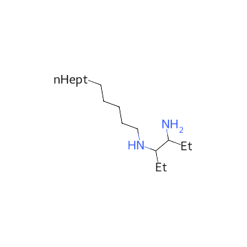 CCCCCCCCCCCCNC(CC)C(N)CC